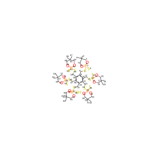 CC1(C)COP(=S)(SCc2c(CSP3(=S)OCC(C)(C)CO3)c(CSP3(=S)OCC(C)(C)CO3)c(CS[PH]3(S)OCC(C)(C)CO3)c(CSP3(=S)OCC(C)(C)CO3)c2CSP2(=S)OCC(C)(C)CO2)OC1